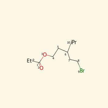 CCC(=O)OCCC(CCBr)C(C)C